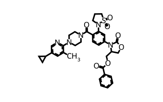 Cc1cc(C2CC2)cnc1N1CCN(C(=O)c2ccc(N3C(=O)OCC3COC(=O)c3ccccc3)cc2N2CCCS2(=O)=O)CC1